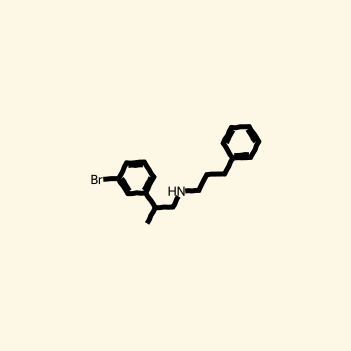 CC(CNCCCc1ccccc1)c1cccc(Br)c1